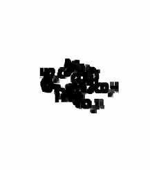 CC(=O)[C@H](CC(=O)O)NC(=O)[C@@H](NC(=O)[C@H](CCC(=O)O)NC(=O)[C@H](CC(=O)O)NC(=O)OCc1ccccc1)C(C)C